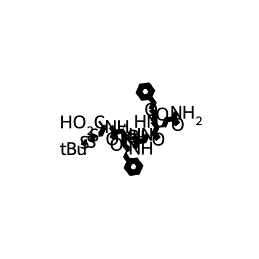 C[C@H](NC(=O)[C@H](Cc1ccccc1)NC(=O)CNC(=O)[C@H](CCC(N)=O)NC(=O)OCc1ccccc1)C(=O)N[C@@H](CSSSC(C)(C)C)C(=O)O